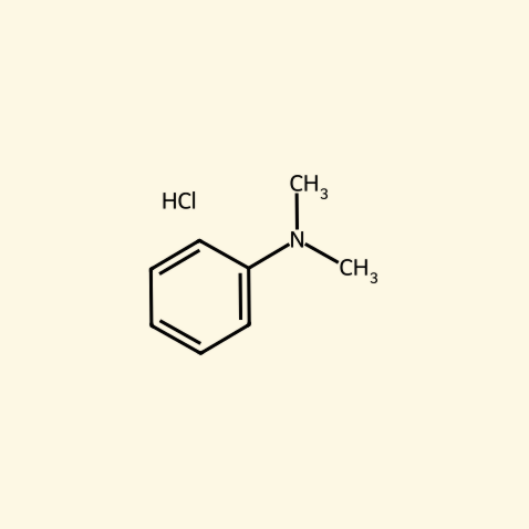 CN(C)c1ccccc1.Cl